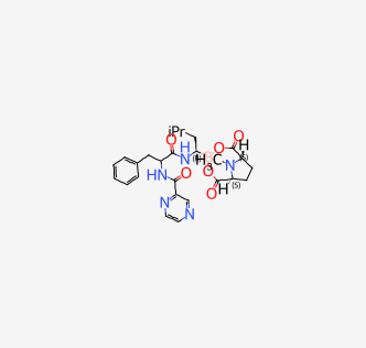 CC(C)C[C@H](NC(=O)C(Cc1ccccc1)NC(=O)c1cnccn1)B1OC(=O)[C@@H]2CC[C@@H](C(=O)O1)N2C